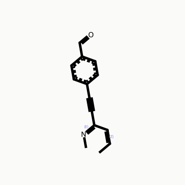 C/C=C\C(C#Cc1ccc(C=O)cc1)=N/C